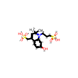 CC1(C)C=C(CS(=O)(=O)O)c2ccc(O)cc2N1CCCS(=O)(=O)O